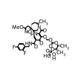 COC1=NO[C@@]2(CC[C@H](C)N3C[C@H]2n2cc(C(=O)NCc4ccc(F)cc4F)c(=O)c(OCOC(=O)O[C@H](C)[C@H](C)OP(=O)(O)O)c2C3=O)C1